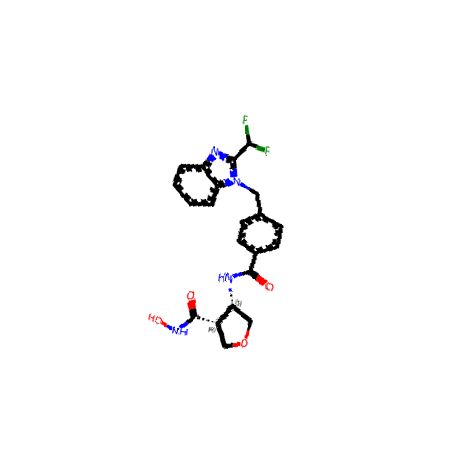 O=C(N[C@@H]1COC[C@@H]1C(=O)NO)c1ccc(Cn2c(C(F)F)nc3ccccc32)cc1